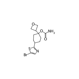 NC(=O)OC1(C2COC2)CCC(c2ncc(Br)s2)CC1